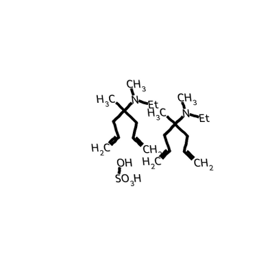 C=CCC(C)(CC=C)N(C)CC.C=CCC(C)(CC=C)N(C)CC.O=S(=O)(O)O